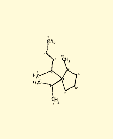 CC(C)C1(C(C)CCN)CCCC1C